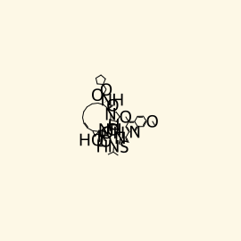 COc1ccc2c(O[C@@H]3C[C@H]4C(=O)NC5(P(=O)(O)O)CC5/C=C\CCCCC[C@H](NC(=O)OC5CCCC5)C(=O)N4C3)cc(-c3csc(NC(C)C)n3)nc2c1